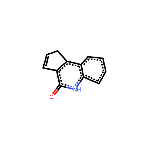 O=c1[nH]c2ccccc2c2c1C=CC2